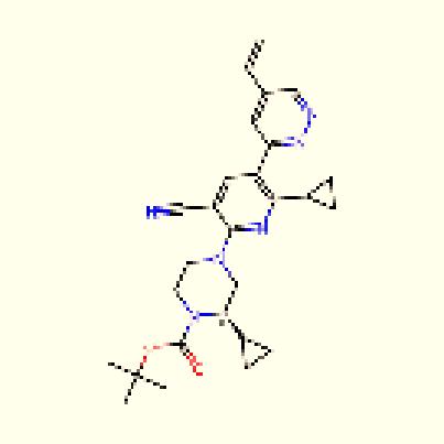 C=Cc1cnnc(-c2cc(C#N)c(N3CCN(C(=O)OC(C)(C)C)[C@H](C4CC4)C3)nc2C2CC2)c1